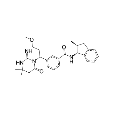 COCCC(c1cccc(C(=O)N[C@@H]2c3ccccc3C[C@@H]2C)c1)N1C(=N)NC(C)(C)CC1=O